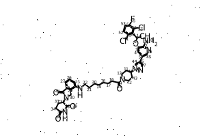 CC(Oc1cc(-c2cnn(C3CCN(C(=O)CCCCCCCNc4cccc5c4CN(C4CCC(=O)NC4=O)C5=O)CC3)c2)cnc1N)c1c(Cl)ccc(F)c1Cl